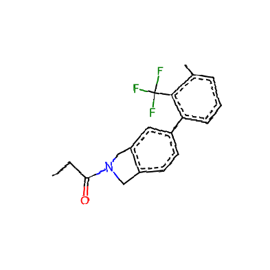 CCC(=O)N1Cc2ccc(-c3cccc(C)c3C(F)(F)F)cc2C1